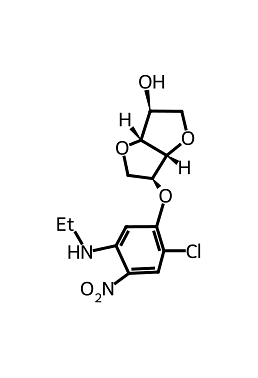 CCNc1cc(O[C@H]2CO[C@H]3[C@@H]2OC[C@@H]3O)c(Cl)cc1[N+](=O)[O-]